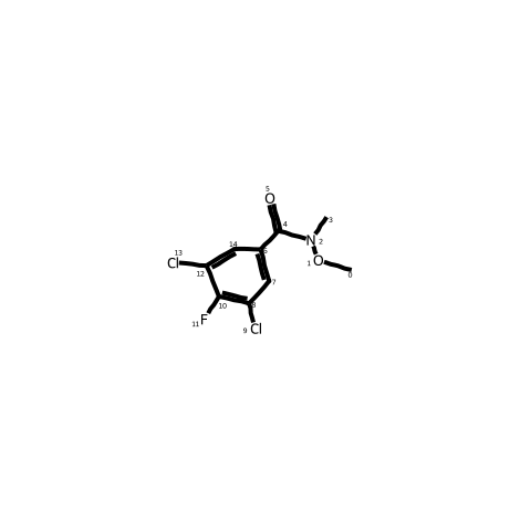 CON(C)C(=O)c1cc(Cl)c(F)c(Cl)c1